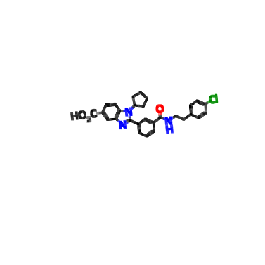 O=C(O)c1ccc2c(c1)nc(-c1cccc(C(=O)NCCc3ccc(Cl)cc3)c1)n2C1CCCC1